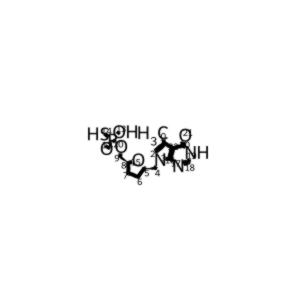 Cc1cn(C[C@H]2CC[C@@H](COP(=O)(O)S)O2)c2nc[nH]c(=O)c12